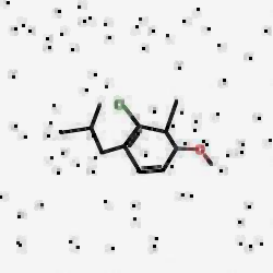 COC1C=CC(CC(C)C)=C(Cl)C1C